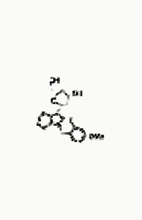 COc1ccc(Cn2cc([C@H]3C[C@@H](O)C[C@@H](CO)O3)c3ccccc32)c(F)c1